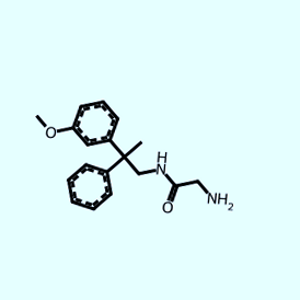 COc1cccc(C(C)(CNC(=O)CN)c2ccccc2)c1